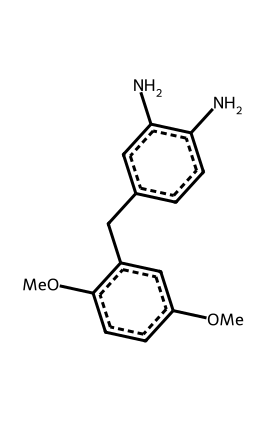 COc1ccc(OC)c(Cc2ccc(N)c(N)c2)c1